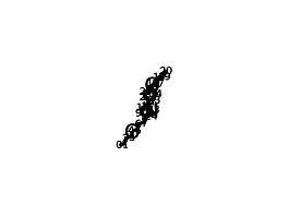 CCCCOCCCc1ccc(-c2ccc(OCCCC)cc2)nc1